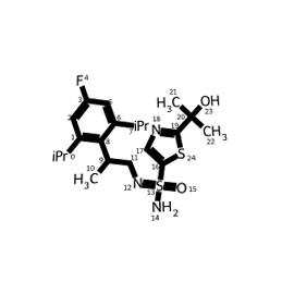 CC(C)c1cc(F)cc(C(C)C)c1C(C)CN=S(N)(=O)c1cnc(C(C)(C)O)s1